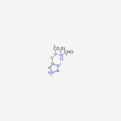 CCOC(=O)C(Cc1c[nH]cn1)NC=O